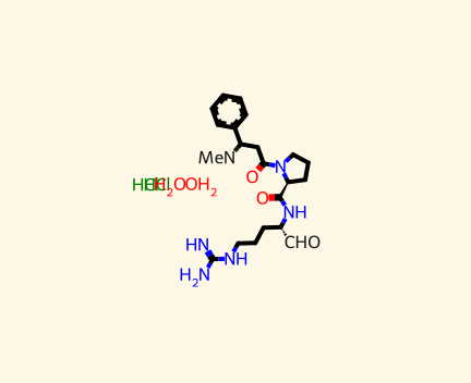 CNC(CC(=O)N1CCC[C@H]1C(=O)N[C@H](C=O)CCCNC(=N)N)c1ccccc1.Cl.Cl.O.O